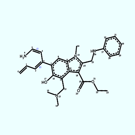 C=C/C=C(\C=C/N)c1cc2c(c(CN(C)C)c1O)c(C(=O)OCC)c(CNc1ccccc1)n2C